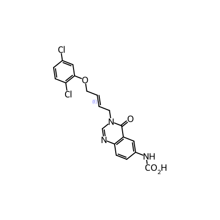 O=C(O)Nc1ccc2ncn(C/C=C/COc3cc(Cl)ccc3Cl)c(=O)c2c1